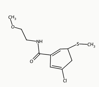 COCCNC(=O)C1=CC(SC)CC(Cl)=C1